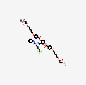 C=CC(=O)OCCCCCCOc1ccc(C(=O)Oc2ccc(OC(=O)c3ccc(OCCCCCCOC(=O)C=C)cc3)c(/C=N/N(CCCCC(F)(F)F)c3nc4ccccc4s3)c2)cc1